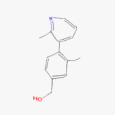 Cc1cc(CO)ccc1-c1cccnc1C